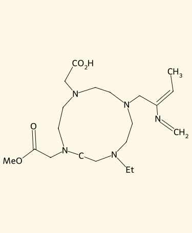 C=N/C(=C/C)CN1CCN(CC)CCN(CC(=O)OC)CCN(CC(=O)O)CC1